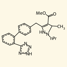 CCCN1NC(Cc2ccc(-c3ccccc3-c3nn[nH]n3)cc2)=C(C(=O)OC)C1C